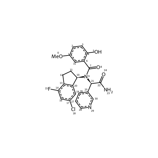 COc1ccc(O)c(C(=O)N([C@@H]2CCc3c(F)cc(Cl)cc32)[C@@H](C(N)=O)c2cccnc2)c1